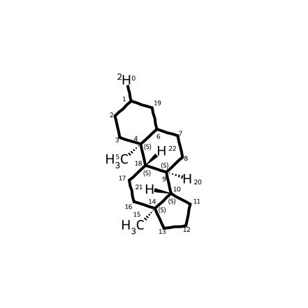 [2H]C1CC[C@@]2(C)C(CC[C@H]3[C@@H]4CCC[C@@]4(C)CC[C@@H]32)C1